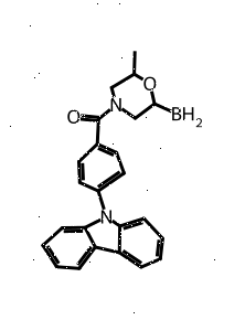 BC1CN(C(=O)c2ccc(-n3c4ccccc4c4ccccc43)cc2)CC(C)O1